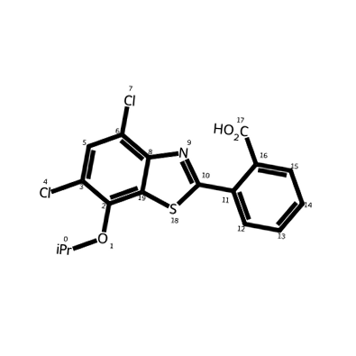 CC(C)Oc1c(Cl)cc(Cl)c2nc(-c3ccccc3C(=O)O)sc12